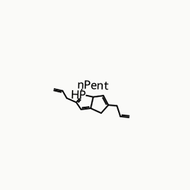 C=CCC1=CC2C(=CC(CC=C)=[PH]2CCCCC)C1